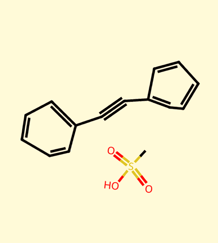 C(#Cc1ccccc1)c1ccccc1.CS(=O)(=O)O